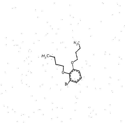 CCCCOc1cc[c]c(Br)c1OCCCC